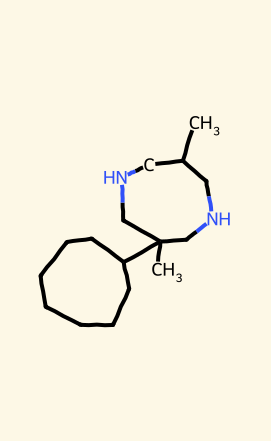 CC1CNCC(C)(C2CCCCCCC2)CNC1